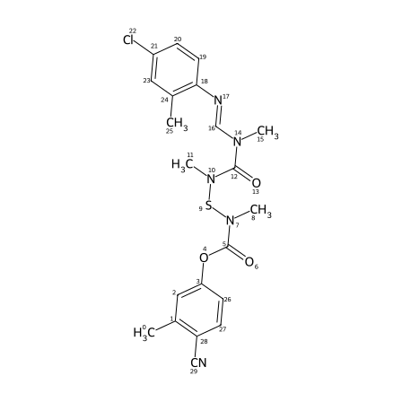 Cc1cc(OC(=O)N(C)SN(C)C(=O)N(C)C=Nc2ccc(Cl)cc2C)ccc1C#N